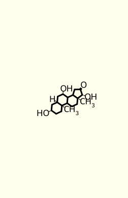 C[C@]12CCC3C(C1CC(=O)[C@@H]2O)[C@@H](O)C[C@@H]1C[C@@H](O)CC[C@]31C